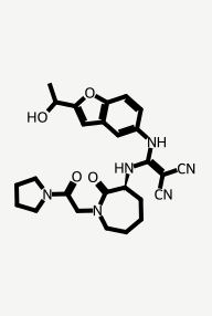 CC(O)c1cc2cc(NC(N[C@H]3CCCCN(CC(=O)N4CCCC4)C3=O)=C(C#N)C#N)ccc2o1